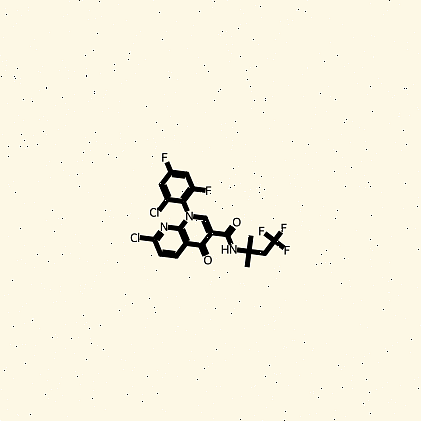 CC(C)(CC(F)(F)F)NC(=O)c1cn(-c2c(F)cc(F)cc2Cl)c2nc(Cl)ccc2c1=O